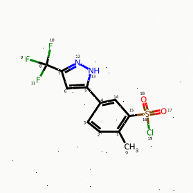 Cc1ccc(-c2cc(C(F)(F)F)n[nH]2)cc1S(=O)(=O)Cl